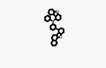 c1ccc(N(c2cccc(-c3cccc4oc5c6ccccc6ccc5c34)c2)c2cccc3oc4ccccc4c23)cc1